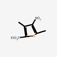 CCOC(=O)c1sc(C)c([N+](=O)[O-])c1C